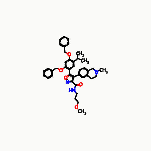 COCCCNC(=O)c1noc(-c2cc(C(C)C)c(OCc3ccccc3)cc2OCc2ccccc2)c1-c1ccc2c(c1)CCN(C)C2